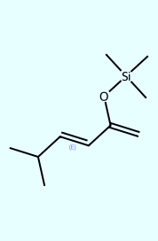 C=C(/C=C/C(C)C)O[Si](C)(C)C